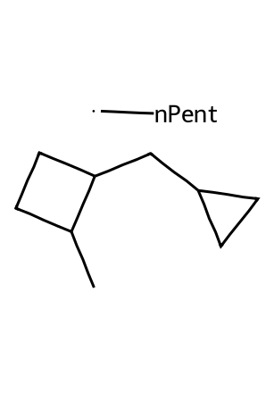 CC1CCC1CC1CC1.[CH2]CCCCC